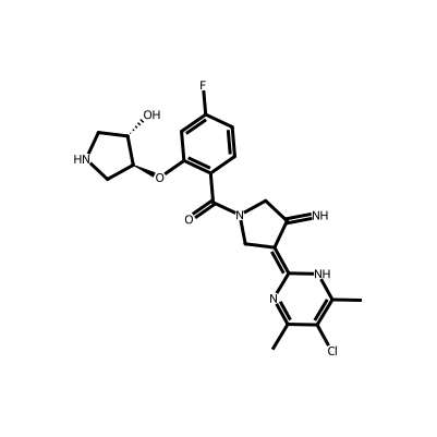 CC1=N/C(=C2\CN(C(=O)c3ccc(F)cc3O[C@H]3CNC[C@@H]3O)CC2=N)NC(C)=C1Cl